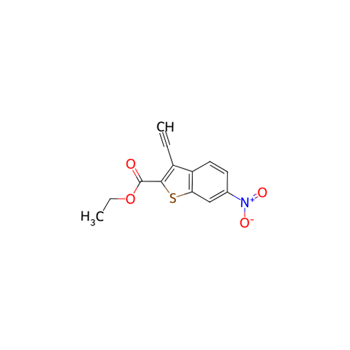 C#Cc1c(C(=O)OCC)sc2cc([N+](=O)[O-])ccc12